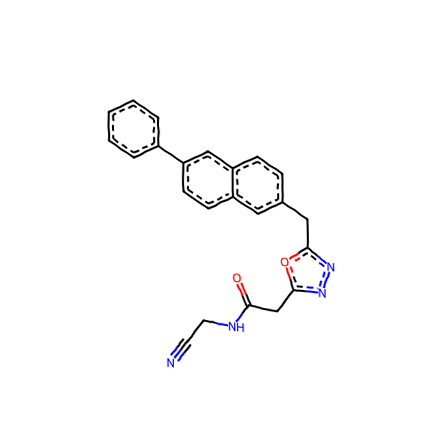 N#CCNC(=O)Cc1nnc(Cc2ccc3cc(-c4ccccc4)ccc3c2)o1